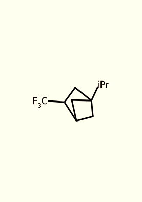 CC(C)C12CC(C1)C(C(F)(F)F)C2